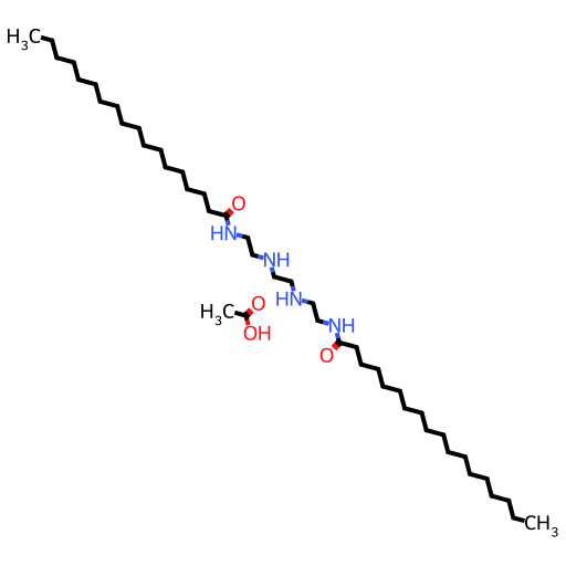 CC(=O)O.CCCCCCCCCCCCCCCCCC(=O)NCCNCCNCCNC(=O)CCCCCCCCCCCCCCCCC